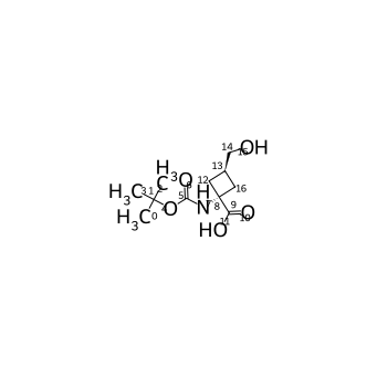 CC(C)(C)OC(=O)N[C@]1(C(=O)O)C[C@@H](CO)C1